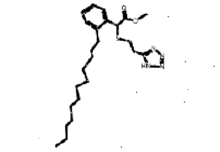 CCCCCCCCCCCCc1ccccc1C(SCCc1nnn[nH]1)C(=O)OC